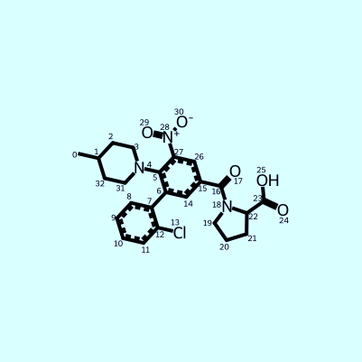 CC1CCN(c2c(-c3ccccc3Cl)cc(C(=O)N3CCCC3C(=O)O)cc2[N+](=O)[O-])CC1